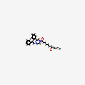 CNC(=O)CCCCCCC(=O)N1CCN(CC(c2ccccc2)c2ccccc2)CC1